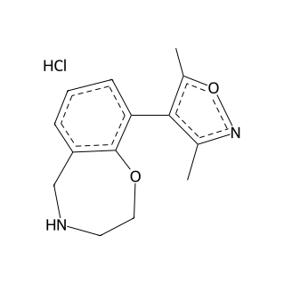 Cc1noc(C)c1-c1cccc2c1OCCNC2.Cl